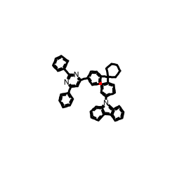 c1ccc(-c2cc(-c3ccc(C4(c5ccc(-n6c7ccccc7c7ccccc76)cc5)CCCCC4)cc3)nc(-c3ccccc3)n2)cc1